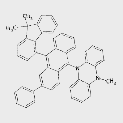 CN1c2ccccc2N(c2c3ccccc3c(-c3cccc4c3-c3ccccc3C4(C)C)c3cc(-c4ccccc4)ccc23)c2ccccc21